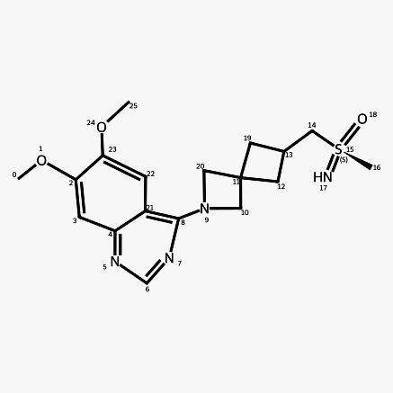 COc1cc2ncnc(N3CC4(CC(C[S@@](C)(=N)=O)C4)C3)c2cc1OC